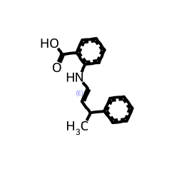 CC(/C=C/Nc1ccccc1C(=O)O)c1ccccc1